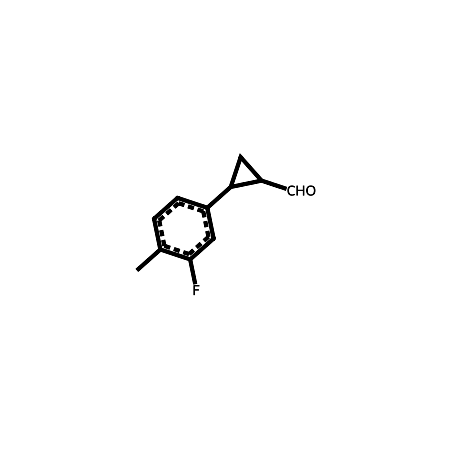 Cc1ccc(C2CC2C=O)cc1F